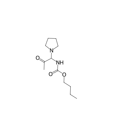 CCCCOC(=O)NC(C(C)=O)N1CCCC1